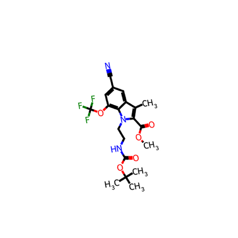 COC(=O)c1c(C)c2cc(C#N)cc(OC(F)(F)F)c2n1CCNC(=O)OC(C)(C)C